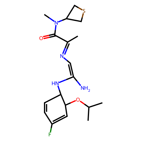 C/C(=N\C=C(\N)NC1C=CC(F)=CC1OC(C)C)C(=O)N(C)C1CSC1